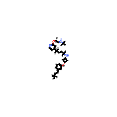 C[C@H](CNC(C)(C)C)Oc1cc(C(C)(C)CCC(C)(C)N[C@H]2C[C@@H](Oc3cccc(CCC(C)(C)C)c3)C2)ccn1